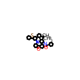 CC1(C)c2ccccc2-c2c(N(c3ccc4sc5ccccc5c4c3)c3cccc4oc5cc6oc(-c7ccccc7)nc6cc5c34)cccc21